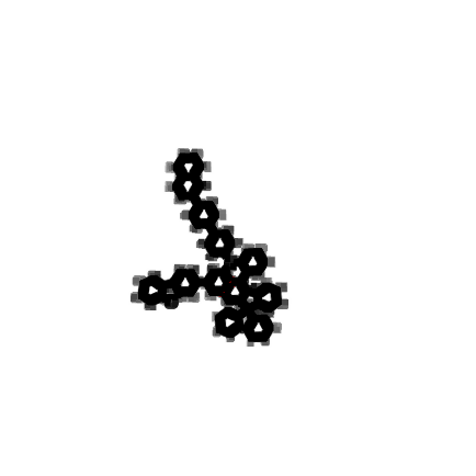 c1ccc(C2(c3ccccc3)c3ccccc3-c3c(-c4ccccc4N(c4ccc(-c5ccc(-c6ccc7ccccc7c6)cc5)cc4)c4cccc(-c5ccc6c(c5)oc5ccccc56)c4)cccc32)cc1